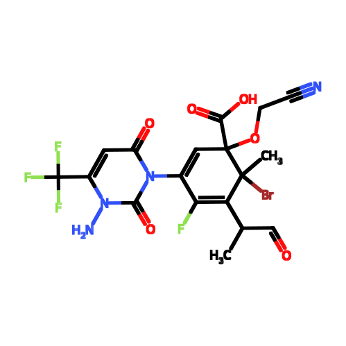 CC(C=O)C1=C(F)C(n2c(=O)cc(C(F)(F)F)n(N)c2=O)=CC(OCC#N)(C(=O)O)C1(C)Br